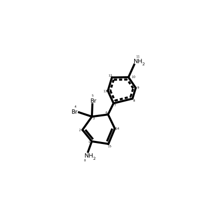 NC1=CC(Br)(Br)C(c2ccc(N)cc2)C=C1